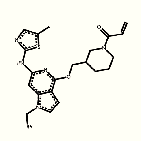 C=CC(=O)N1CCCC(COc2nc(Nc3ncc(C)s3)cc3c2ccn3CC(C)C)C1